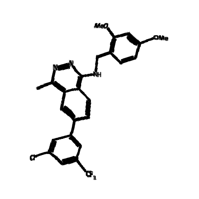 COc1ccc(CNc2nnc(C)c3cc(-c4cc(Cl)cc(C(F)(F)F)c4)ccc23)c(OC)c1